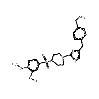 CCc1ccc(Cc2csc(N3CCC(S(=O)(=O)c4ccc(OC)c(OC)c4)CC3)n2)cc1